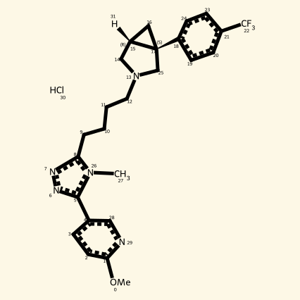 COc1ccc(-c2nnc(CCCCN3C[C@@H]4C[C@]4(c4ccc(C(F)(F)F)cc4)C3)n2C)cn1.Cl